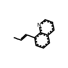 C/C=C/c1cccc2cccnc12